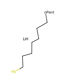 CCCCCCCCCCCCS.[LiH]